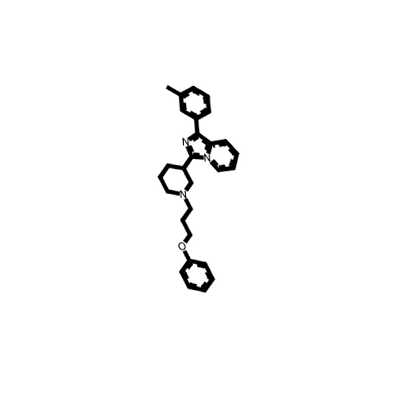 Cc1cccc(-c2nc(C3CCCN(CCCOc4ccccc4)C3)n3ccccc23)c1